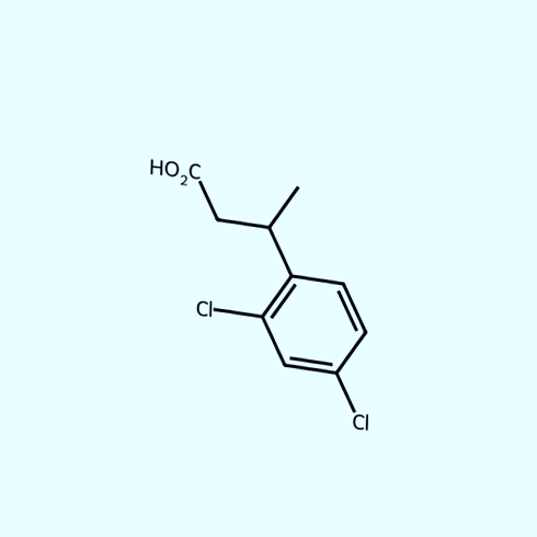 CC(CC(=O)O)c1ccc(Cl)cc1Cl